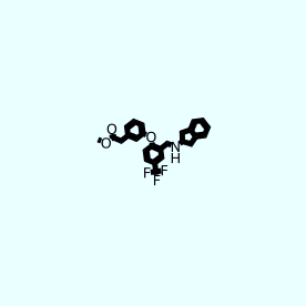 COC(=O)Cc1cccc(Oc2ccc(C(F)(F)F)cc2CNC2Cc3ccccc3C2)c1